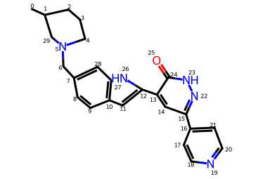 CC1CCCN(Cc2ccc3cc(-c4cc(-c5ccncc5)n[nH]c4=O)[nH]c3c2)C1